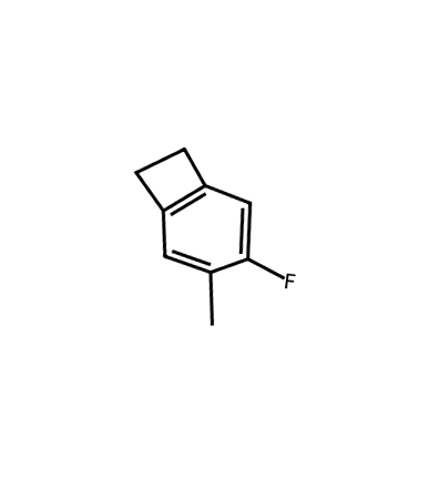 Cc1cc2c(cc1F)CC2